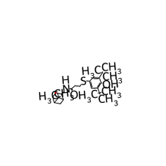 CC(C)(C)c1cc(SCCC(=O)NC2CCC3CC2C3(C)C)cc(C(C)(C)C)c1O